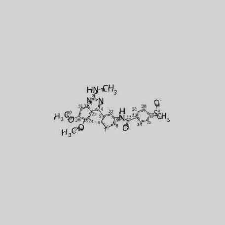 CNc1nc(-c2cccc(NC(=O)c3ccc([S+](C)[O-])cc3)c2)c2cc(OC)c(OC)cc2n1